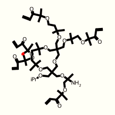 C=CC(=O)C(C)(C)OCCC(C)(C)OCC(COCC(COC(C)C)(COC(C)(C)COC(C)(C)C(=O)C=C)COC(C)(N)COC(C)(C)C(=O)C=C)(COC(C)(C)COC(C)(C)C(=O)C=C)COC(C)(C)COC(C)(C)C(=O)C=C